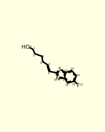 OCCCC/C=C/c1nc2cc(F)ccc2s1